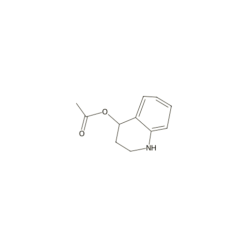 CC(=O)OC1CCNc2ccccc21